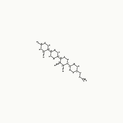 CCCC1CCC(C2CCC(C3CCC(C4CCC(I)CC4F)CC3)[C@H](F)C2F)CC1